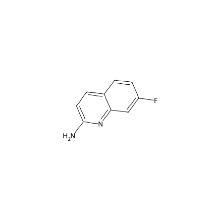 Nc1ccc2ccc(F)cc2n1